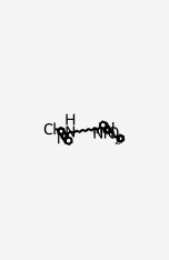 N[C@@H](CCCCCCCCNc1c2c(nc3cc(Cl)ccc13)CCCC2)C1CCCc2nc(OCc3ccccc3)ccc21